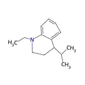 CCN1CCC(C(C)C)c2ccccc21